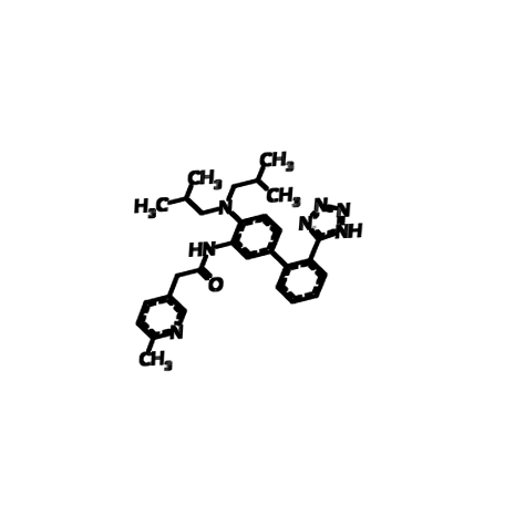 Cc1ccc(CC(=O)Nc2cc(-c3ccccc3-c3nnn[nH]3)ccc2N(CC(C)C)CC(C)C)cn1